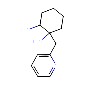 NC1CCCCC1(N)Cc1ccccn1